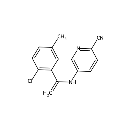 C=C(Nc1ccc(C#N)nc1)c1cc(C)ccc1Cl